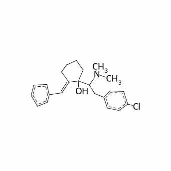 CN(C)C(Cc1ccc(Cl)cc1)C1(O)CCCCC1=Cc1ccccc1